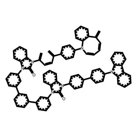 C=C(/C=C\C(=C)n1c(=O)n(-c2cccc(-c3cccc(-c4cccc(-n5c(=O)n(-c6ccc(-c7ccc(-n8c9ccccc9c9ccccc98)cc7)cc6)c6ccccc65)c4)c3)c2)c2ccccc21)c1ccc(N2/C=C\C=C/C(=C)c3ccccc32)cc1